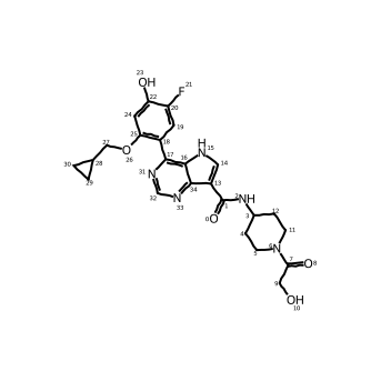 O=C(NC1CCN(C(=O)CO)CC1)c1c[nH]c2c(-c3cc(F)c(O)cc3OCC3CC3)ncnc12